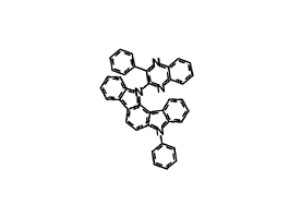 c1ccc(-c2nc3ccccc3nc2-n2c3ccccc3c3ccc4c(c5ccccc5n4-c4ccccc4)c32)cc1